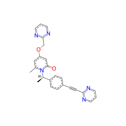 Cc1cc(OCc2ncccn2)cc(=O)n1[C@H](C)c1ccc(C#Cc2ncccn2)cc1